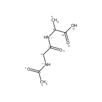 CC(=O)NCC(=O)NC(C)C(=O)O